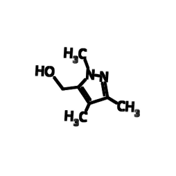 Cc1nn(C)c(CO)c1C